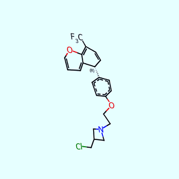 FC(F)(F)C1=C2OC=CC=C2[C@@H](c2ccc(OCCN3CC(CCl)C3)cc2)C=C1